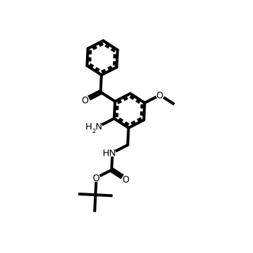 COc1cc(CNC(=O)OC(C)(C)C)c(N)c(C(=O)c2ccccc2)c1